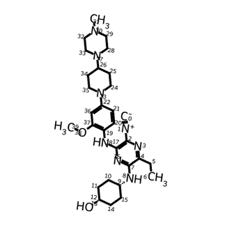 [C-]#[N+]c1nc(CC)c(N[C@H]2CC[C@H](O)CC2)nc1Nc1ccc(N2CCC(N3CCN(C)CC3)CC2)cc1OC